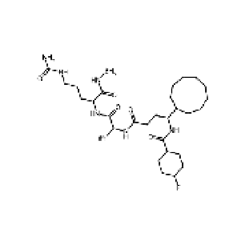 BNC(=O)[C@H](CCCNC(N)=O)NC(=O)C(NC(=O)CC[C@H](NC(=O)C1CCC(F)CC1)C1CCCCCCCC1)C(C)C